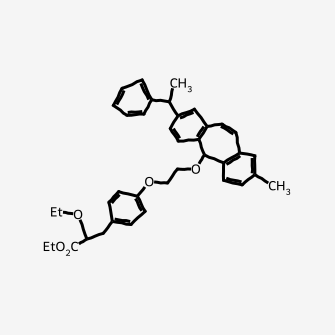 CCOC(=O)C(Cc1ccc(OCCOC2c3ccc(C)cc3C=Cc3cc(C(C)c4ccccc4)ccc32)cc1)OCC